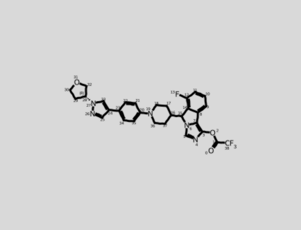 O=C(Oc1ncn2c1-c1cccc(F)c1C2C1CCN(c2ccc(-c3cnn([C@@H]4CCOC4)c3)cc2)CC1)C(F)(F)F